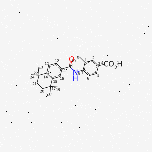 Cc1cc(C(=O)O)ccc1NC(=O)c1ccc2c(c1)C(C)(C)CCC2(C)C